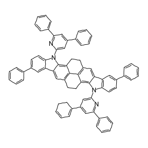 C1=CCCC(c2cc(-c3ccccc3)nc(-n3c4ccc(-c5ccccc5)cc4c4cc5c6c(c43)CCc3cc4c7cc(-c8ccccc8)ccc7n(-c7cc(-c8ccccc8)cc(-c8ccccc8)n7)c4c(c3-6)CC5)c2)=C1